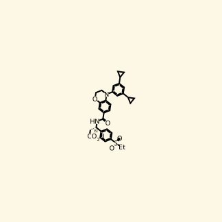 CCS(=O)(=O)c1ccc([C@H](CC(=O)O)NC(=O)c2ccc3c(c2)OCCN3c2cc(C3CC3)cc(C3CC3)c2)cc1